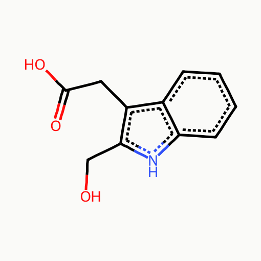 O=C(O)Cc1c(CO)[nH]c2ccccc12